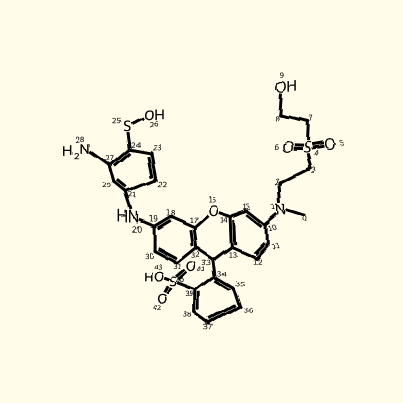 CN(CCS(=O)(=O)CCO)c1ccc2c(c1)Oc1cc(Nc3ccc(SO)c(N)c3)ccc1C2c1ccccc1S(=O)(=O)O